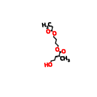 C=CC(=O)OCCCCOC(=O)C(C)=CCCO